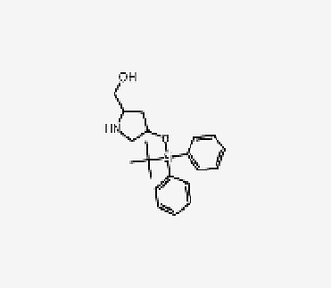 CC(C)(C)[Si](OC1CNC(CO)C1)(c1ccccc1)c1ccccc1